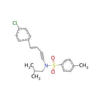 Cc1ccc(S(=O)(=O)N(C#C/C=C/c2ccc(Cl)cc2)CC(C)C)cc1